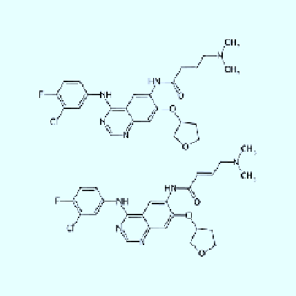 CN(C)CC=CC(=O)Nc1cc2c(Nc3ccc(F)c(Cl)c3)ncnc2cc1OC1CCOC1.CN(C)CC=CC(=O)Nc1cc2c(Nc3ccc(F)c(Cl)c3)ncnc2cc1OC1CCOC1